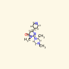 C[C@@H]1CN(C)CCN1c1nc(-c2ccncc2)cc(=O)n1C